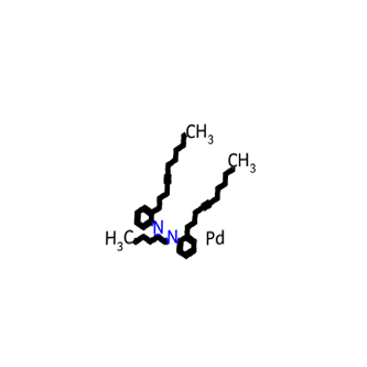 CCCCCCC#CCCCc1ccccc1N=CC(CCCC)=Nc1ccccc1CCCC#CCCCCCC.[Pd]